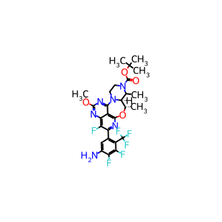 COc1nc2c3c(nc(-c4cc(N)c(F)c(F)c4C(F)(F)F)c(F)c3n1)O[C@@H](C)[C@@H]1C(C)N(C(=O)OC(C)(C)C)CCN21